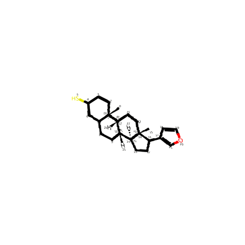 C[C@]12CCC(S)CC1CC[C@@H]1[C@H]2CC[C@]2(C)C(c3ccoc3)CC[C@@H]12